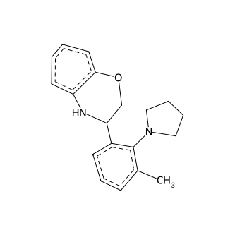 Cc1cccc(C2COc3ccccc3N2)c1N1CCCC1